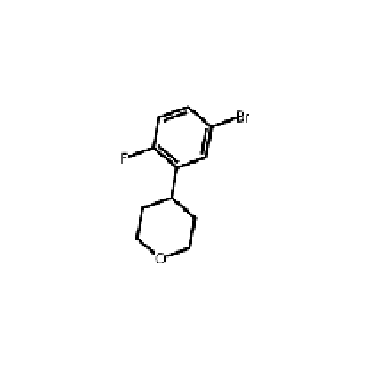 Fc1ccc(Br)cc1C1CCOCC1